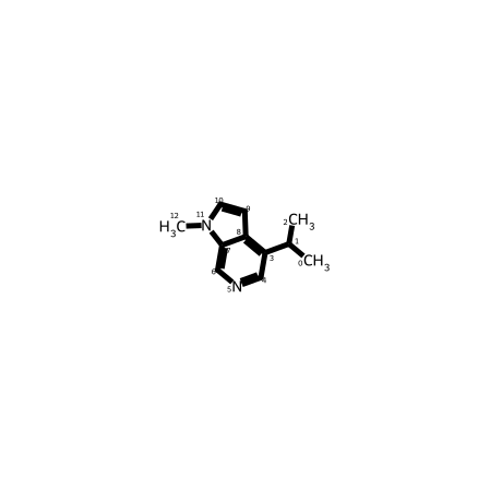 CC(C)c1cncc2c1ccn2C